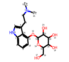 CCN(CCc1c[nH]c2cccc(OC3OC(CO)C(O)C(O)C3O)c12)C(C)C